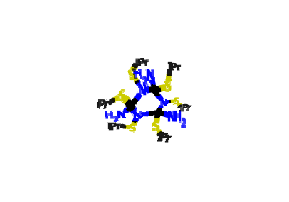 CC(C)SN1C(N)(SC(C)C)N(SC(C)C)C(N)(SC(C)C)N(SC(C)C)C1(N)SC(C)C